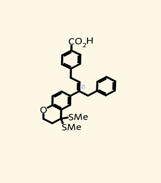 CSC1(SC)CCOc2ccc(/C(=C\Cc3ccc(C(=O)O)cc3)Cc3ccccc3)cc21